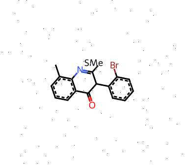 CSC1=Nc2c(C)cccc2C(=O)C1c1ccccc1Br